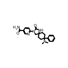 CN(C)C1(c2ccccc2)CCC2(CC1)CN(c1ccc(C(N)=O)cn1)C(=O)N2